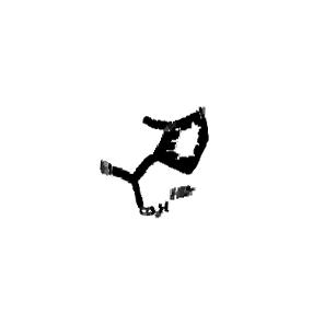 Br.CCC(C(=O)O)c1ccnn1C